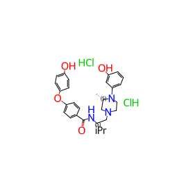 CC(C)[C@@H](CN1CCN(c2cccc(O)c2)[C@@H](C)C1)NC(=O)c1ccc(Oc2ccc(O)cc2)cc1.Cl.Cl